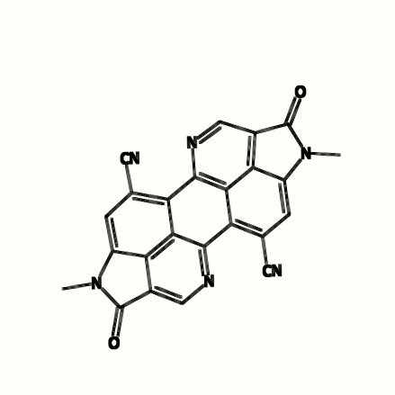 CN1C(=O)c2cnc3c4c(C#N)cc5c6c(cnc(c7c(C#N)cc1c2c37)c64)C(=O)N5C